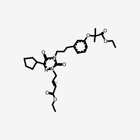 CCOC(=O)/C=C/Cn1nc(C2CCCC2)c(=O)n(CCCc2cccc(OC(C)(C)C(=O)OCC)c2)c1=O